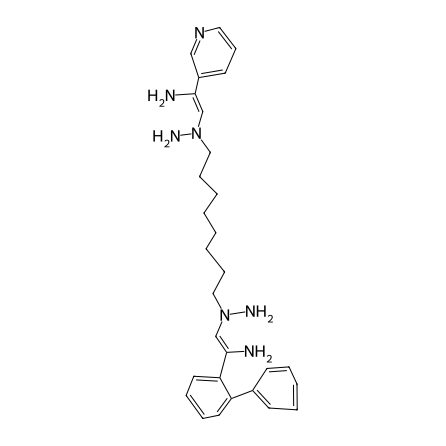 N/C(=C\N(N)CCCCCCCCN(N)/C=C(\N)c1ccccc1-c1ccccc1)c1cccnc1